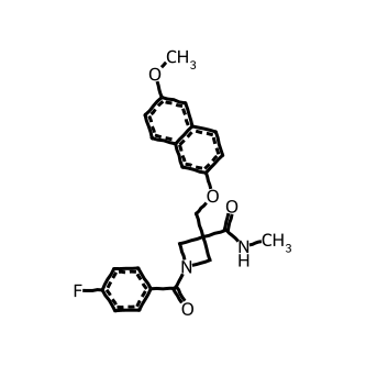 CNC(=O)C1(COc2ccc3cc(OC)ccc3c2)CN(C(=O)c2ccc(F)cc2)C1